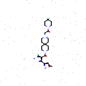 Cc1cc(-c2nn(C)c(Cl)c2C(=O)N2CCC3(CCN(CC(=O)N4CCC(F)(F)CC4)CC3)CC2)no1